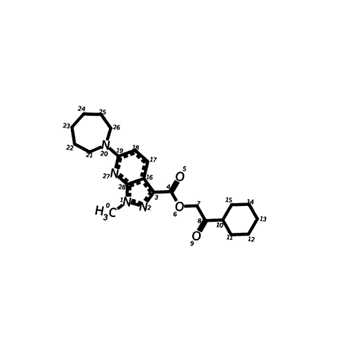 Cn1nc(C(=O)OCC(=O)C2CCCCC2)c2ccc(N3CCCCCC3)nc21